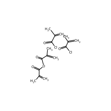 C=C(C)C(=O)Cl.C=C(C)C(=O)Cl.C=C(C)C(=O)OC(=O)C(=C)C